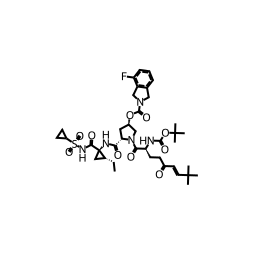 CC[C@@H]1C[C@]1(NC(=O)[C@@H]1C[C@@H](OC(=O)N2Cc3cccc(F)c3C2)CN1C(=O)[C@H](CCC(=O)/C=C/C(C)(C)C)NC(=O)OC(C)(C)C)C(=O)NS(=O)(=O)C1CC1